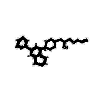 C=CCOCC(O)CN1CCN(c2nc(-c3ccccc3)nc3ccccc23)CC1